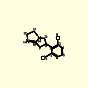 Clc1cccc(Cl)c1C1CC2=NCCN2C1